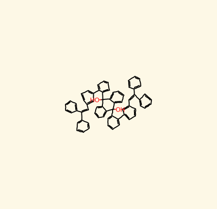 OC1(c2ccccc2-c2cccc(C=C(c3ccccc3)c3ccccc3)c2)c2ccccc2C(O)(c2ccccc2-c2cccc(C=C(c3ccccc3)c3ccccc3)c2)c2ccccc21